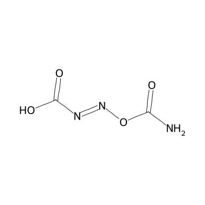 NC(=O)ON=NC(=O)O